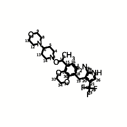 CC(ON1CCC(N2CCOCC2)CC1)c1ccc(Cc2c(C(F)(F)F)c[nH]c2N)c2c1OCCO2